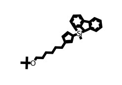 CC(C)(C)OCCCCCCC1=CC([Si]2(C)c3cccc4c3C2c2ccccc2-4)C=C1